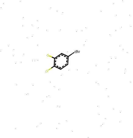 CC(C)(C)c1ccc([S])c([S])c1